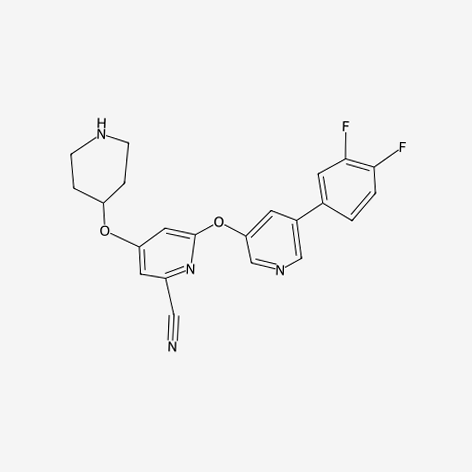 N#Cc1cc(OC2CCNCC2)cc(Oc2cncc(-c3ccc(F)c(F)c3)c2)n1